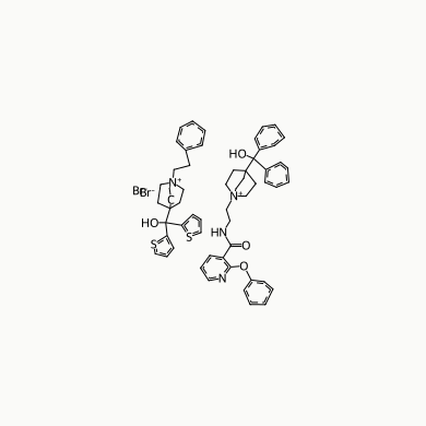 O=C(NCC[N+]12CCC(C(O)(c3ccccc3)c3ccccc3)(CC1)CC2)c1cccnc1Oc1ccccc1.OC(c1cccs1)(c1cccs1)C12CC[N+](CCc3ccccc3)(CC1)CC2.[Br-].[Br-]